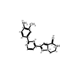 Cc1cc(-c2nccc(-c3cc4n(n3)CCNC4=O)n2)ccc1N